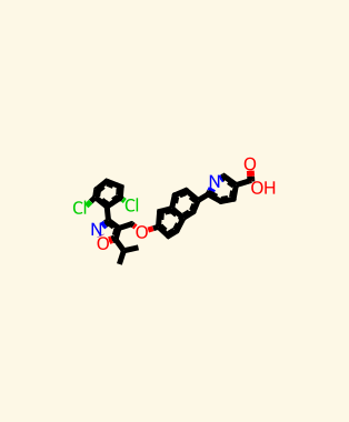 CC(C)c1onc(-c2c(Cl)cccc2Cl)c1COc1ccc2cc(-c3ccc(C(=O)O)cn3)ccc2c1